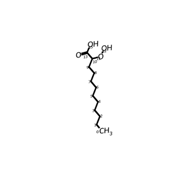 CCCCCCCCCCC(OO)C(=O)O